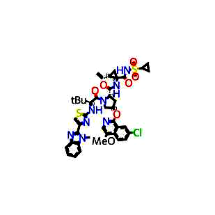 C=C[C@@H]1C[C@]1(NC(=O)[C@@H]1C[C@@H](Oc2ncc(OC)c3ccc(Cl)cc23)CN1C(=O)[C@@H](Nc1nc(-c2nc3ccccc3n2C)cs1)C(C)(C)C)C(=O)NS(=O)(=O)C1CC1